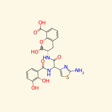 Nc1nc(C(NC(=O)c2cccc(O)c2O)C(=O)N[C@H]2Cc3cccc(C(=O)O)c3OB2O)cs1